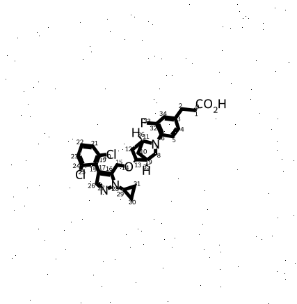 O=C(O)CCc1ccc(N2C[C@@H]3C[C@H]2C[C@H]3OCc2c(-c3c(Cl)cccc3Cl)cnn2C2CC2)c(F)c1